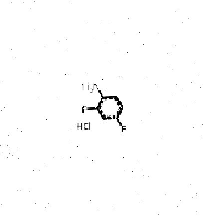 Cl.Nc1ccc(F)cc1F